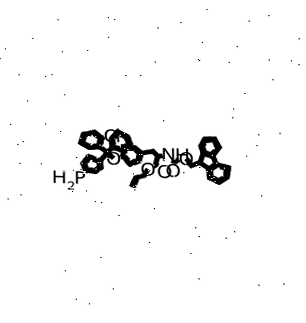 C=CCOC(=O)C(Cc1ccc(OC(c2ccccc2)(c2ccc(P)cc2)c2ccccc2Cl)cc1)NC(=O)OCC1c2ccccc2-c2ccccc21